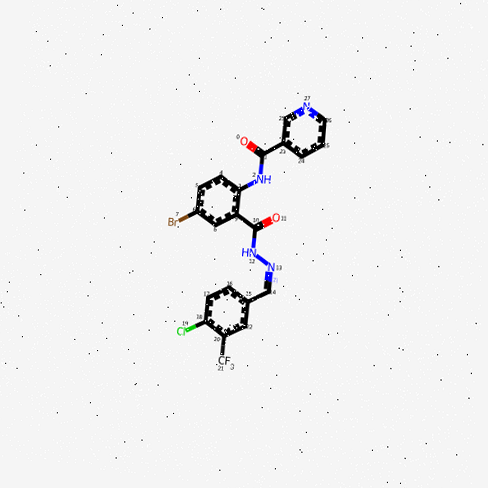 O=C(Nc1ccc(Br)cc1C(=O)N/N=C\c1ccc(Cl)c(C(F)(F)F)c1)c1cccnc1